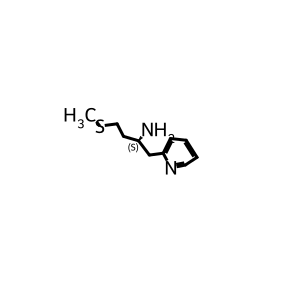 CSCC[C@@H](N)Cc1ccccn1